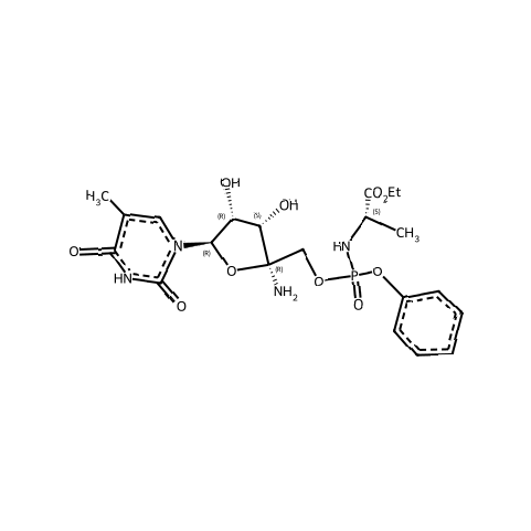 CCOC(=O)[C@H](C)NP(=O)(OC[C@@]1(N)O[C@@H](n2cc(C)c(=O)[nH]c2=O)[C@H](O)[C@@H]1O)Oc1ccccc1